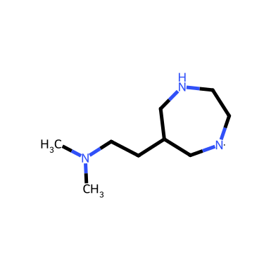 CN(C)CCC1C[N]CCNC1